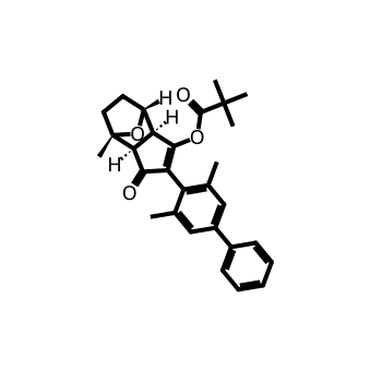 Cc1cc(-c2ccccc2)cc(C)c1C1=C(OC(=O)C(C)(C)C)[C@H]2[C@@H](C1=O)[C@]1(C)CC[C@H]2O1